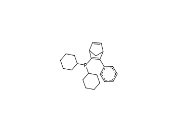 C1=CC2CC1C(c1ccccc1)=C2P(C1CCCCC1)C1CCCCC1